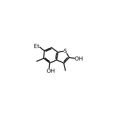 CCc1cc2sc(O)c(C)c2c(O)c1C